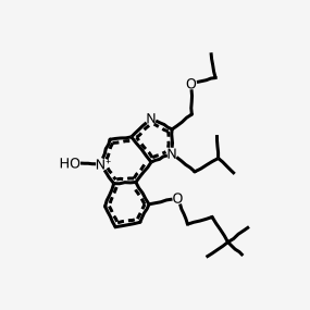 CCOCc1nc2c[n+](O)c3cccc(OCCC(C)(C)C)c3c2n1CC(C)C